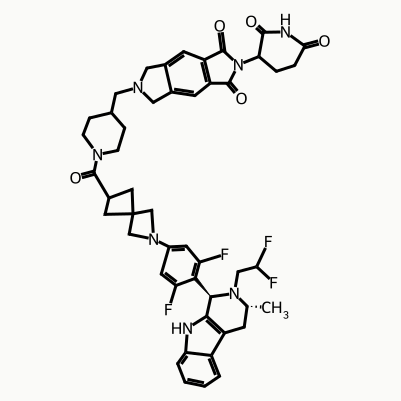 C[C@@H]1Cc2c([nH]c3ccccc23)[C@@H](c2c(F)cc(N3CC4(CC(C(=O)N5CCC(CN6Cc7cc8c(cc7C6)C(=O)N(C6CCC(=O)NC6=O)C8=O)CC5)C4)C3)cc2F)N1CC(F)F